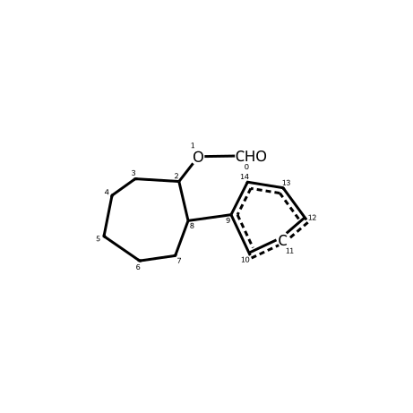 O=COC1CCCCCC1c1ccccc1